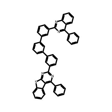 c1ccc(-c2nc(-c3cccc(-c4cccc(-c5cccc(-c6nc(-c7ccccc7)c7c(n6)sc6ccccc67)c5)c4)c3)nc3ccccc23)cc1